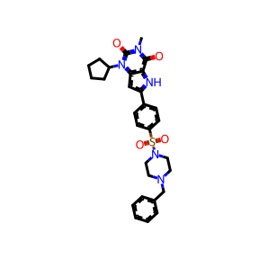 Cn1c(=O)c2[nH]c(-c3ccc(S(=O)(=O)N4CCN(Cc5ccccc5)CC4)cc3)cc2n(C2CCCC2)c1=O